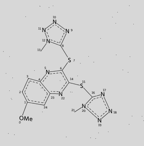 COc1ccc2nc(Sc3nnnn3C)c(Sc3nnnn3C)nc2c1